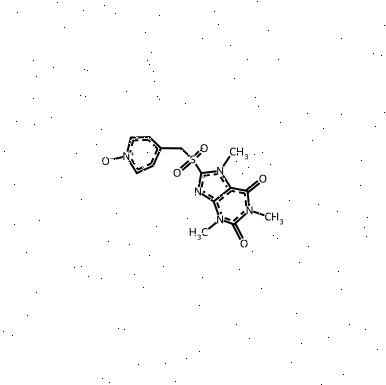 Cn1c(=O)c2c(nc(S(=O)(=O)Cc3cc[n+]([O-])cc3)n2C)n(C)c1=O